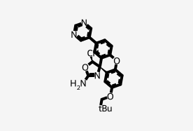 C[C@@H]1OC(N)=N[C@]12c1cc(OCC(C)(C)C)ccc1Oc1ccc(-c3cncnc3)cc12